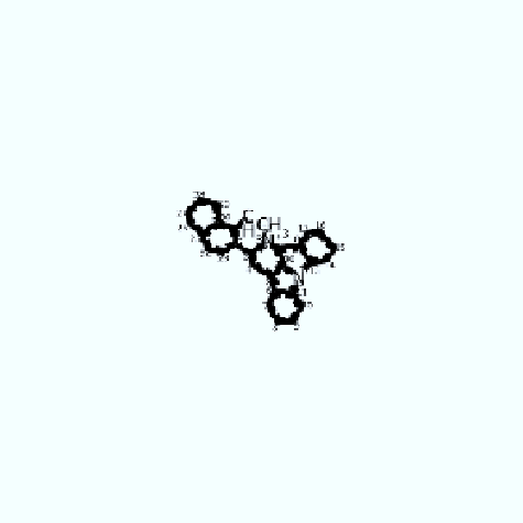 Cc1c(-c2cc3c4ccccc4n4c5ccccc5c(c34)[n+]2C)ccc2ccccc12